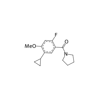 COc1cc(F)c(C(=O)N2CCCC2)cc1C1CC1